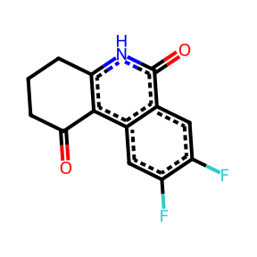 O=C1CCCc2[nH]c(=O)c3cc(F)c(F)cc3c21